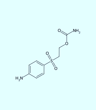 NC(=O)OCCS(=O)(=O)c1ccc(N)cc1